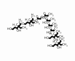 C=CC(=O)O.C=CC(=O)O.C=CC(=O)O.C=CC(=O)O.C=CC(=O)O.CCC(C)(CC)C(O)CCO.CCC(C)(CC)C(O)CCO.CCC(C)(CC)C(O)CCO.CCC(C)(CC)C(O)CCO